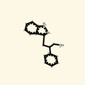 OCC(Cc1n[nH]c2ccccc12)c1ccccc1